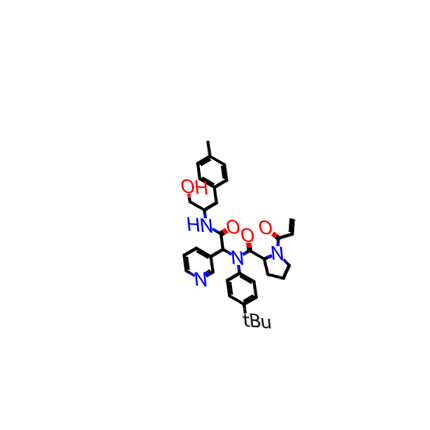 C=CC(=O)N1CCCC1C(=O)N(c1ccc(C(C)(C)C)cc1)C(C(=O)NC(CO)Cc1ccc(C)cc1)c1cccnc1